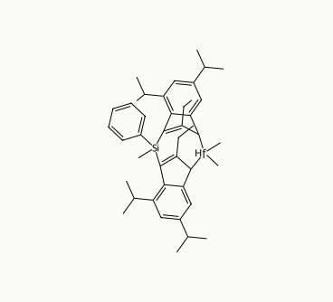 CCC1=C2c3c(C(C)C)cc(C(C)C)cc3[CH]1[Hf]([CH3])([CH3])[CH]1C(CC)=C(c3c(C(C)C)cc(C(C)C)cc31)[Si]2(C)c1ccccc1